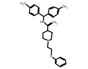 C=C(NC(c1ccc(C)cc1)c1ccc(C)cc1)C1CCN(CCOc2ccccc2)CC1